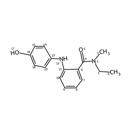 CCN(C)C(=O)c1ccccc1Nc1ccc(O)cc1